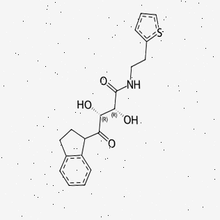 O=C(NCCc1cccs1)[C@H](O)[C@@H](O)C(=O)C1CCc2ccccc21